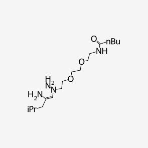 CCCCC(=O)NCCOCCOCCN(N)/C=C(\N)CC(C)C